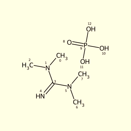 CN(C)C(=N)N(C)C.O=P(O)(O)O